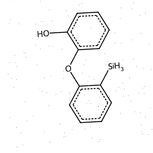 Oc1ccccc1Oc1ccccc1[SiH3]